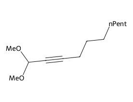 CCCCCCCCC#CC(OC)OC